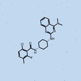 Cc1ccc(Cl)c(C(=O)N[C@H]2CC[C@@H](Nc3nc(N(C)C)c4ccccc4n3)CC2)c1F